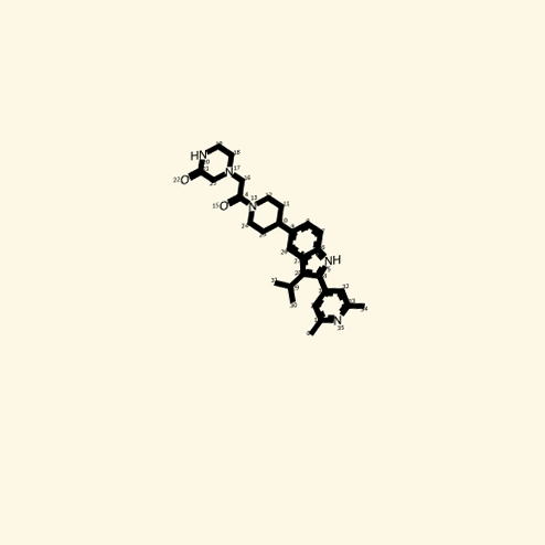 Cc1cc(-c2[nH]c3ccc(C4CCN(C(=O)CN5CCNC(=O)C5)CC4)cc3c2C(C)C)cc(C)n1